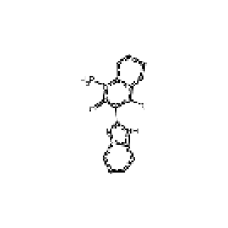 O=c1c(-c2nc3ccccc3[nH]2)c(Cl)c2ccccc2n1P